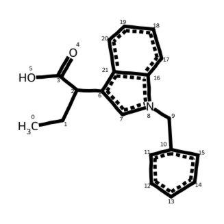 CCC(C(=O)O)c1cn(Cc2ccccc2)c2ccccc12